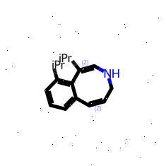 CC(C)/C1=C/NC/C=C\c2cccc(C(C)C)c21